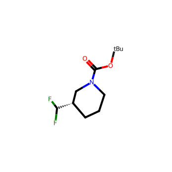 CC(C)(C)OC(=O)N1CCC[C@H](C(F)F)C1